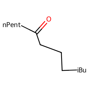 CCCCCC(=O)CCCC(C)CC